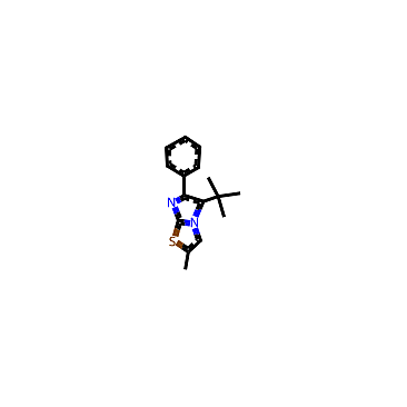 Cc1cn2c(C(C)(C)C)c(-c3ccccc3)nc2s1